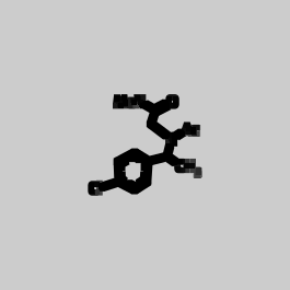 CNC(=O)CN(C(C)=O)C(C)c1ccc(Cl)cc1